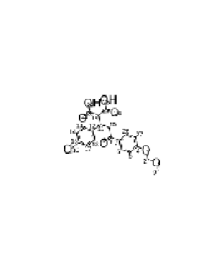 COCOc1ccc(C(=O)CC(c2ccc(Cl)cc2)C(C(=O)O)C(=O)O)cc1